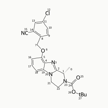 C[C@H]1c2nc3c(OCc4ccc(Cl)cc4C#N)cccc3n2CCN1C(=O)OC(C)(C)C